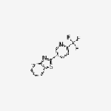 FC(F)(F)c1ccc(-c2nc3[c]cccc3s2)cn1